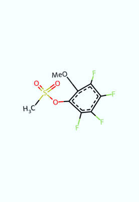 COc1c(F)c(F)c(F)c(F)c1OS(C)(=O)=O